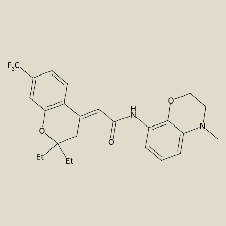 CCC1(CC)C/C(=C\C(=O)Nc2cccc3c2OCCN3C)c2ccc(C(F)(F)F)cc2O1